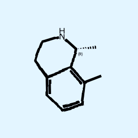 Cc1cccc2c1[C@@H](C)NCC2